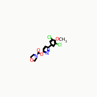 COc1c(Cl)cc(-c2ccc(OC(=O)N3CCOCC3)nn2)cc1Cl